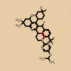 CC(C)Oc1cnc(N2CCC(c3nc4c(c(C5CCC(F)(F)CC5)c3C(F)c3ccc(C(F)(F)F)cc3)C(O)CC(C)(C)C4)CC2)nc1